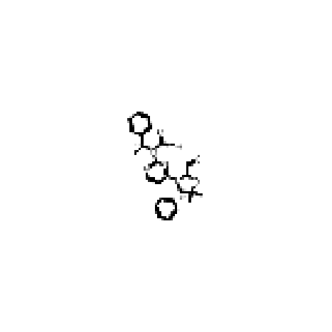 C[C@@H](c1ccccc1)N(C(=O)O)c1nccc(N2C(C=O)OC(C)(C)[C@@H]2c2ccccc2)n1